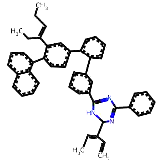 C=C/C(=C\C)C1N=C(c2ccccc2)N=C(c2cccc(-c3ccccc3-c3ccc(-c4cccc5ccccc45)c(/C(=C/CC)CC)c3)c2)N1